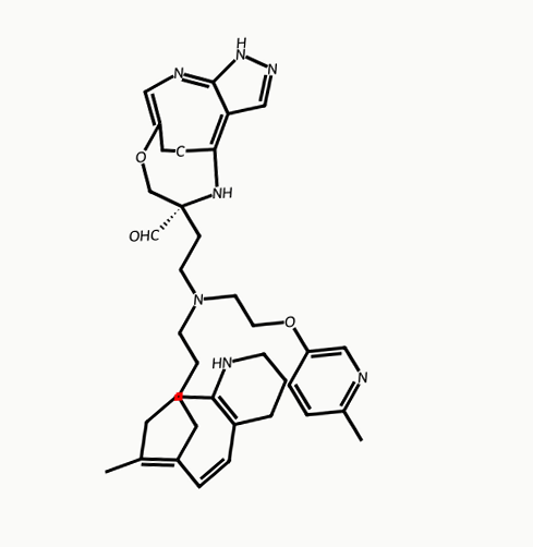 C/C1=C(CCCCN(CCOc2ccc(C)nc2)CC[C@@]2(C=O)CO\C3=C/N=c4/[nH]nc/c4=C(/CC3)N2)\C=C/C2=C(CC1)NCCC2